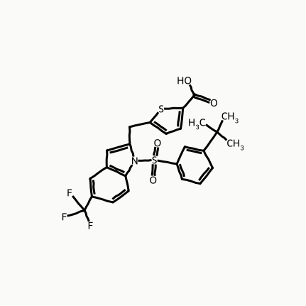 CC(C)(C)c1cccc(S(=O)(=O)n2c(Cc3ccc(C(=O)O)s3)cc3cc(C(F)(F)F)ccc32)c1